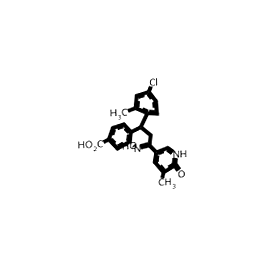 Cc1cc(Cl)ccc1C(C/C(=N\O)c1c[nH]c(=O)c(C)c1)c1ccc(C(=O)O)cc1